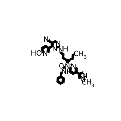 CCCC1/C(=[N+](/C(=O)NCc2ccccc2)c2ccc(-c3cnn(C)c3)cn2)C1CCCNc1ncc(C#N)c(-c2ccc(O)nc2)n1